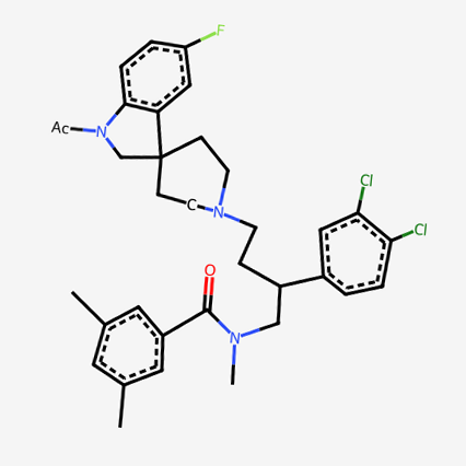 CC(=O)N1CC2(CCN(CCC(CN(C)C(=O)c3cc(C)cc(C)c3)c3ccc(Cl)c(Cl)c3)CC2)c2cc(F)ccc21